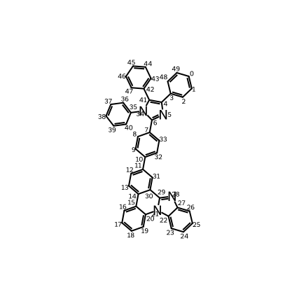 c1ccc(-c2nc(-c3ccc(-c4ccc5c6ccccc6n6c7ccccc7nc6c5c4)cc3)n(-c3ccccc3)c2-c2ccccc2)cc1